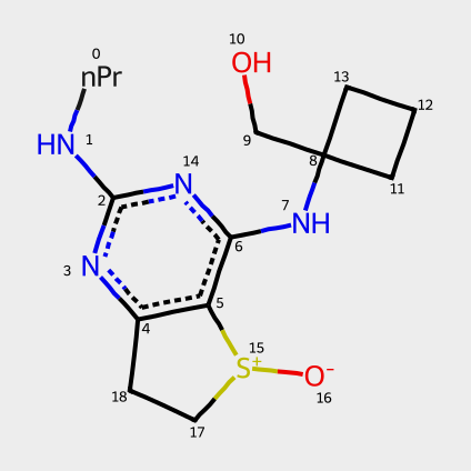 CCCNc1nc2c(c(NC3(CO)CCC3)n1)[S+]([O-])CC2